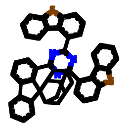 c1ccc2c(c1)-c1cccc(-c3nc(-c4cccc5sc6ccccc6c45)nc(-c4cccc5sc6ccccc6c45)n3)c1C21C2CC3CC(C2)CC1C3